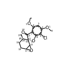 COc1cc(OC)c2c(c1Cl)O[C@]1(C2=O)C2OC2CC[C@H]1C